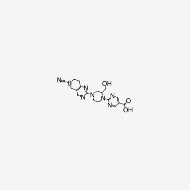 N#CB1CCc2nc(N3CCN(c4ncc(C(=O)O)cn4)C(CO)C3)ncc2C1